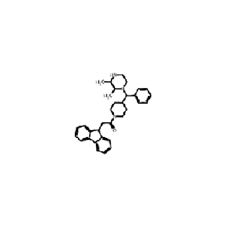 CC1NCCN(C(c2ccccc2)C2CCN(C(=O)CC3c4ccccc4-c4ccccc43)CC2)C1C